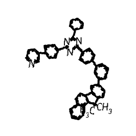 CC1(C)c2ccc(-c3cccc(-c4ccc(-c5nc(-c6ccccc6)nc(-c6ccc(-c7cccnc7)cc6)n5)cc4)c3)cc2-c2ccc3ccccc3c21